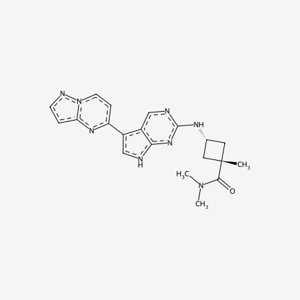 CN(C)C(=O)[C@]1(C)C[C@H](Nc2ncc3c(-c4ccn5nccc5n4)c[nH]c3n2)C1